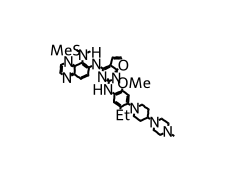 CCc1cc(Nc2nc(Nc3ccc4nccnc4c3N(C)SC)c3ccoc3n2)c(OC)cc1N1CCC(N2CCN(C)CC2)CC1